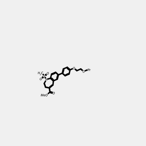 COC(=O)C1=Cc2cc(-c3ccc(OCCOC(C)C)cc3)ccc2N(S(C)(=O)=O)CC1